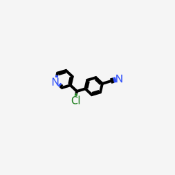 N#Cc1ccc(C(Cl)c2cccnc2)cc1